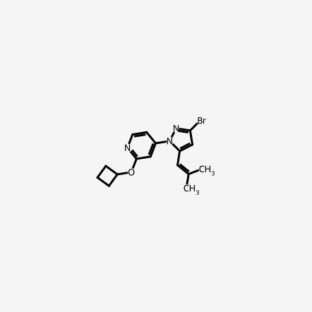 CC(C)=Cc1cc(Br)nn1-c1ccnc(OC2CCC2)c1